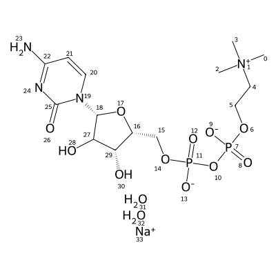 C[N+](C)(C)CCOP(=O)([O-])OP(=O)([O-])OC[C@H]1O[C@@H](n2ccc(N)nc2=O)C(O)[C@H]1O.O.O.[Na+]